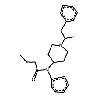 CCCC(=O)N(c1ccccc1)C1CCN(C(C)Cc2ccccc2)CC1